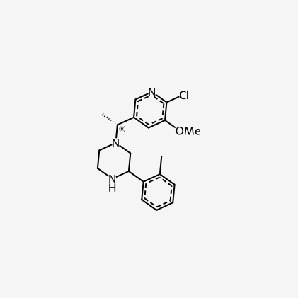 COc1cc([C@@H](C)N2CCNC(c3ccccc3C)C2)cnc1Cl